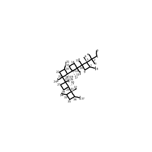 CCC(C)(C)[C@]1(C)C(I)CC1(I)C1(I)CC[C@]1(C)[C@]1(C)C(I)CC1(I)C1(I)CC[C@]1(C)[C@@]1(C)C(C)CC1I